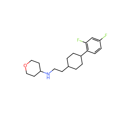 Fc1ccc(C2CCC(CCNC3CCOCC3)CC2)c(F)c1